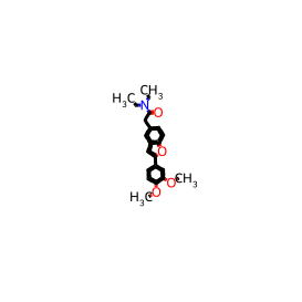 CCN(CC)C(=O)Cc1ccc2oc(-c3ccc(OC)c(OC)c3)cc2c1